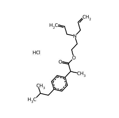 C=CCN(CC=C)CCOC(=O)C(C)c1ccc(CC(C)C)cc1.Cl